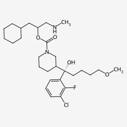 CNCC(CC1CCCCC1)OC(=O)N1CCCC([C@@](O)(CCCCOC)c2cccc(Cl)c2F)C1